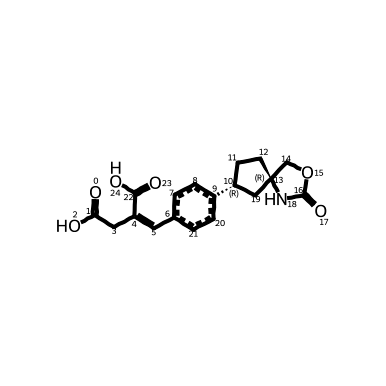 O=C(O)CC(=Cc1ccc([C@@H]2CC[C@]3(COC(=O)N3)C2)cc1)C(=O)O